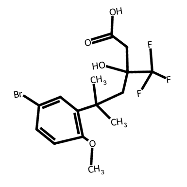 COc1ccc(Br)cc1C(C)(C)CC(O)(CC(=O)O)C(F)(F)F